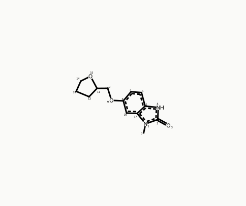 Cn1c(=O)[nH]c2ccc(OCC3CCCO3)cc21